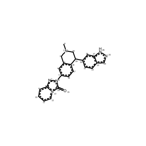 CN1Cc2cc(-n3nc4ccccn4c3=O)ccc2C(c2ccc3cn[nH]c3c2)C1